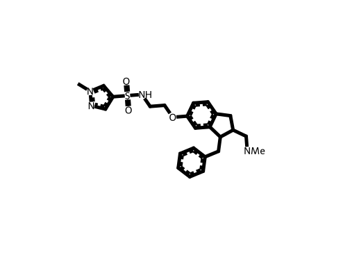 CNCC1Cc2ccc(OCCNS(=O)(=O)c3cnn(C)c3)cc2C1Cc1ccccc1